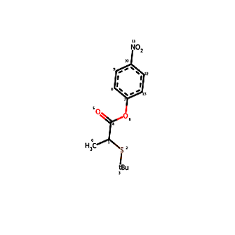 CC(SC(C)(C)C)C(=O)Oc1ccc([N+](=O)[O-])cc1